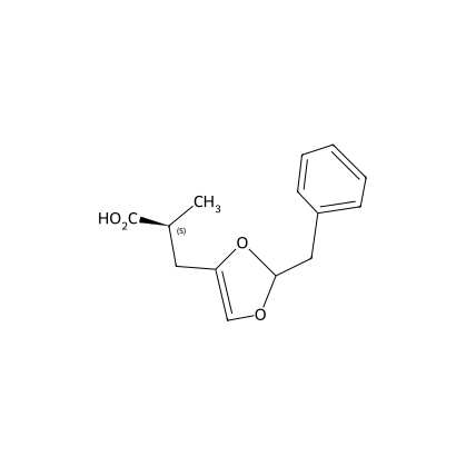 C[C@@H](CC1=COC(Cc2ccccc2)O1)C(=O)O